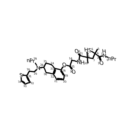 CCCNC(=O)C(C)(S)CC(C)(C)C(=O)NCC(=O)Oc1cccc2c1CCC(N(CCC)CCc1cccs1)C2